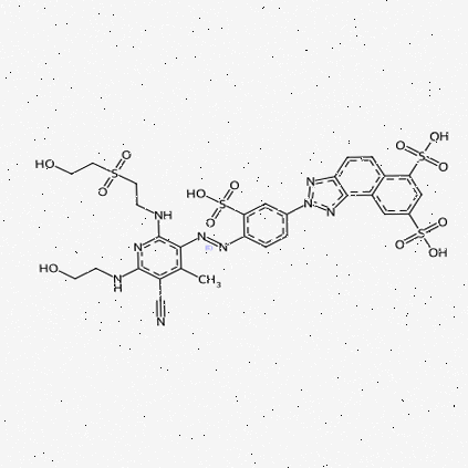 Cc1c(C#N)c(NCCO)nc(NCCS(=O)(=O)CCO)c1/N=N/c1ccc(-n2nc3ccc4c(S(=O)(=O)O)cc(S(=O)(=O)O)cc4c3n2)cc1S(=O)(=O)O